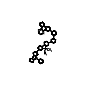 CC1(C)c2cc(-c3cccc(-c4cccc(-c5ccc6c7ccccc7c7nccnc7c6c5)c4)c3)ccc2-c2ccc(-c3ccc4c5ccccc5n(-c5ccccc5)c4c3)cc21